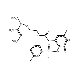 CCOC(=O)N=C(N)N(OCCNC(=O)Cc1cc(C)[nH]c(=O)c1NS(=O)(=O)c1cccc(C)c1)C(=O)OCC